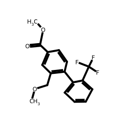 COCc1cc(C(=O)OC)ccc1-c1ccccc1C(F)(F)F